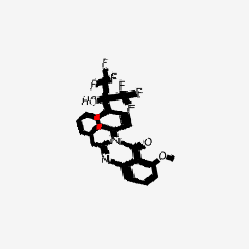 COc1cccc2nc(Cc3ccccc3)n(-c3ccc(C(O)(C(F)(F)F)C(F)(F)F)cc3)c(=O)c12